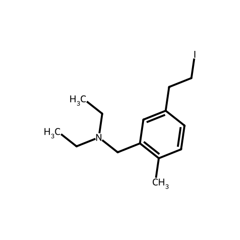 CCN(CC)Cc1cc(CCI)ccc1C